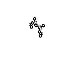 c1ccc(-c2nc(-c3ccc4c(c3)nc(-c3ccccc3)c3ccc5oc6ccccc6c5c34)cc(-c3ccc4c(c3)oc3ccccc34)n2)cc1